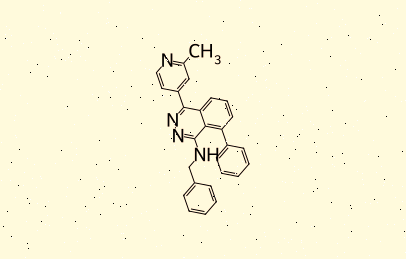 Cc1cc(-c2nnc(NCc3ccccc3)c3c(-c4ccccc4)cccc23)ccn1